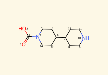 O=C(O)N1CCC(C2CCNCC2)CC1